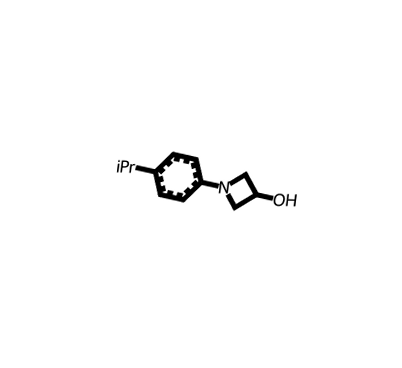 CC(C)c1ccc(N2CC(O)C2)cc1